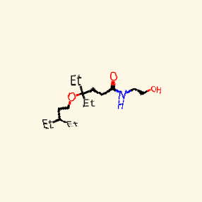 CCC(CC)CCOC(CC)(CC)CCC(=O)NCCO